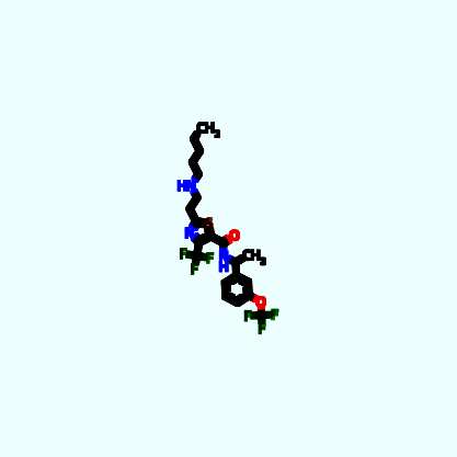 CCCCCNCCc1nc(C(F)(F)F)c(C(=O)NC(C)c2cccc(OC(F)(F)F)c2)s1